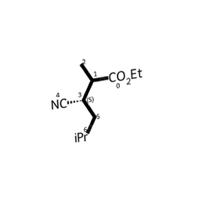 CCOC(=O)C(C)[C@@H](C#N)CC(C)C